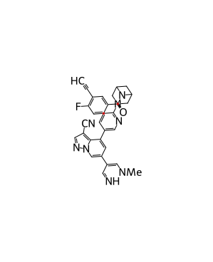 C#Cc1cc(C(=O)N2C3CC2CN(c2ccc(-c4cc(/C(C=N)=C/NC)cn5ncc(C#N)c45)cn2)C3)ccc1F